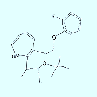 [CH2]C(OC(C)(C)C)C(C)C1=C(CCOc2ccccc2F)C=CC=CN1